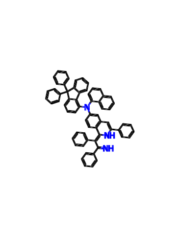 N=C(/C(=C1\NC(c2ccccc2)=Cc2cc(N(c3cccc4c3-c3ccccc3C4(c3ccccc3)c3ccccc3)c3cccc4ccccc34)ccc21)c1ccccc1)c1ccccc1